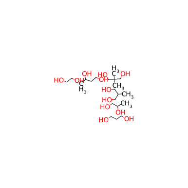 CC(C)(CO)CO.CC(CO)CO.CC(O)CCO.CC(O)CO.OCCCO.OCCO